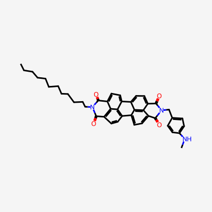 CCCCCCCCCCCCN1C(=O)c2ccc3c4ccc5c6c(ccc(c7ccc(c2c37)C1=O)c64)C(=O)N(Cc1ccc(NC)cc1)C5=O